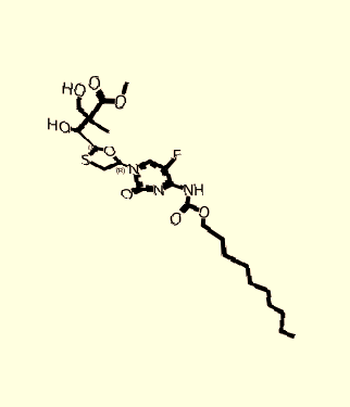 CCCCCCCCCCOC(=O)Nc1nc(=O)n([C@H]2CS[C@@H](C(O)C(C)(CO)C(=O)OC)O2)cc1F